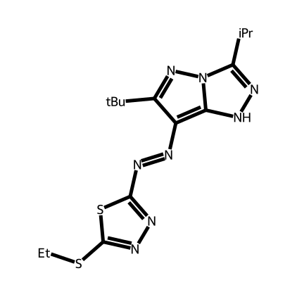 CCSc1nnc(N=Nc2c(C(C)(C)C)nn3c(C(C)C)n[nH]c23)s1